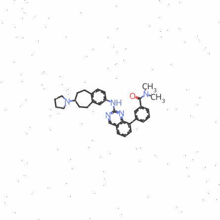 CN(C)C(=O)c1cccc(-c2cccc3cnc(Nc4ccc5c(c4)CCC(N4CCCC4)CC5)nc23)c1